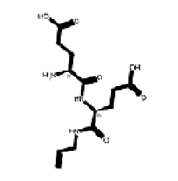 C=CCNC(=O)[C@H](CCC(=O)O)NC(=O)[C@@H](N)CCC(=O)O